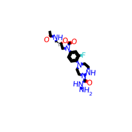 CC(=O)NC[C@H]1CN(c2ccc(N3CCNN(C(=O)NN)CC3)c(F)c2)C(=O)O1